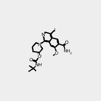 COc1cc2c(N3CCC[C@H](OC(=O)NC(C)(C)C)C3)ncc(I)c2cc1C(N)=O